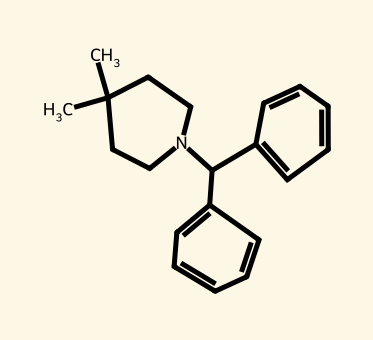 CC1(C)CCN(C(c2ccccc2)c2ccccc2)CC1